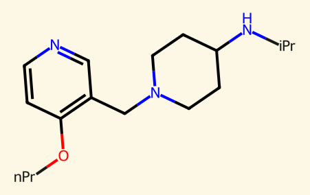 CCCOc1ccncc1CN1CCC(NC(C)C)CC1